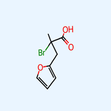 CC(Br)(Cc1ccco1)C(=O)O